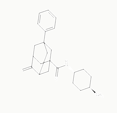 C=C1C2CC3(C(=S)N[C@H]4CC[C@H](N)CC4)CC1CC(c1ccccc1)(C2)C3